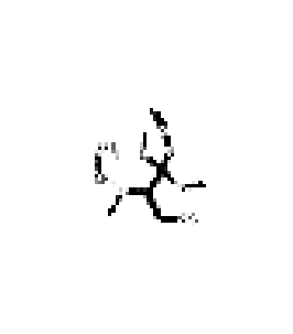 COC(C[SiH3])C(N=C=O)(OC)OC.N[SiH3]